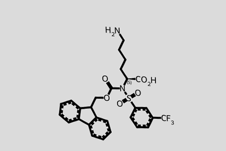 NCCCC[C@@H](C(=O)O)N(C(=O)OCC1c2ccccc2-c2ccccc21)S(=O)(=O)c1cccc(C(F)(F)F)c1